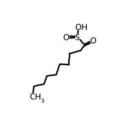 CCCCCCCCCC(=O)S(=O)O